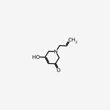 C=CCN1CC(=O)C=C(O)C1